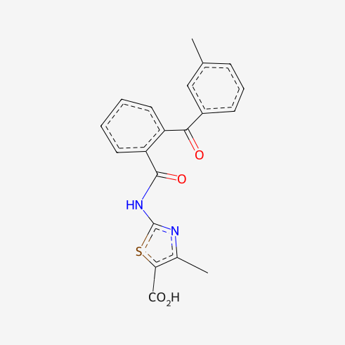 Cc1cccc(C(=O)c2ccccc2C(=O)Nc2nc(C)c(C(=O)O)s2)c1